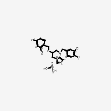 Clc1ccc(CSC(COCc2ccc(Cl)c(Cl)c2)Cn2ccnc2)c(Cl)c1.O=[N+]([O-])O